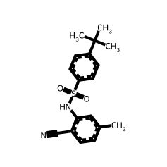 Cc1ccc(C#N)c(NS(=O)(=O)c2ccc(C(C)(C)C)cc2)c1